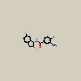 Nc1cc(C(=O)N[C@@H]2c3cc(F)ccc3C[C@@H]2O)ccc1F